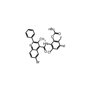 CCCCC(=O)Oc1c(F)c(F)cc(Cl)c1NC(=O)c1c(C)c(-c2ccccc2)nc2ccc(Br)cc12